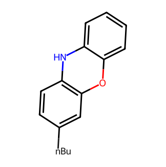 CCCCc1ccc2c(c1)Oc1ccccc1N2